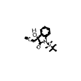 C=C=CC1(O)C(=O)N([Si](C)(C)C(C)(C)C)c2ccccc21